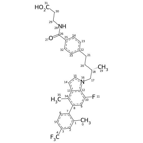 Cc1cc(C(F)(F)F)ccc1-c1cc(F)c2c(ccn2C[C@@H](C)CCc2ccc(C(=O)NCCC(=O)O)cc2)c1C